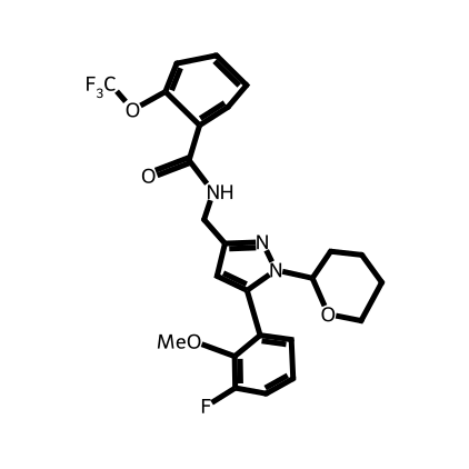 COc1c(F)cccc1-c1cc(CNC(=O)c2ccccc2OC(F)(F)F)nn1C1CCCCO1